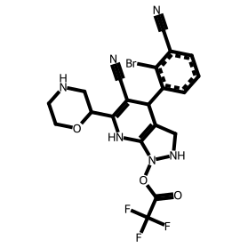 N#CC1=C(C2CNCCO2)NC2=C(CNN2OC(=O)C(F)(F)F)C1c1cccc(C#N)c1Br